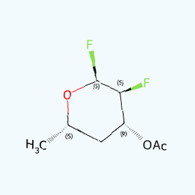 CC(=O)O[C@@H]1C[C@H](C)O[C@@H](F)[C@H]1F